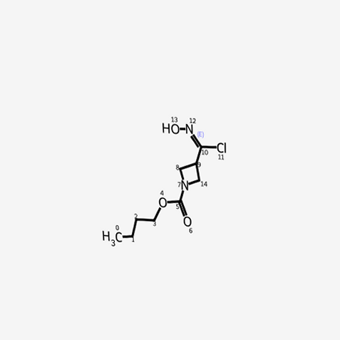 CCCCOC(=O)N1CC(/C(Cl)=N\O)C1